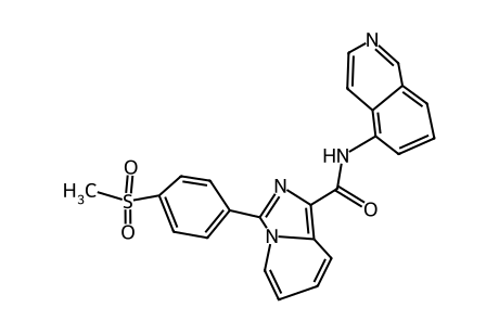 CS(=O)(=O)c1ccc(-c2nc(C(=O)Nc3cccc4cnccc34)c3ccccn23)cc1